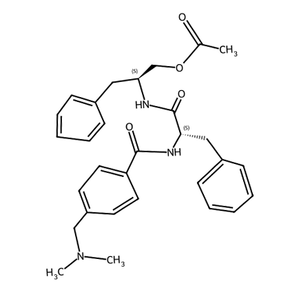 CC(=O)OC[C@H](Cc1ccccc1)NC(=O)[C@H](Cc1ccccc1)NC(=O)c1ccc(CN(C)C)cc1